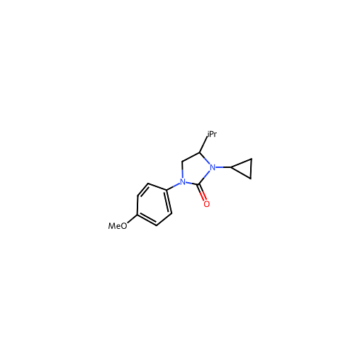 COc1ccc(N2CC(C(C)C)N(C3CC3)C2=O)cc1